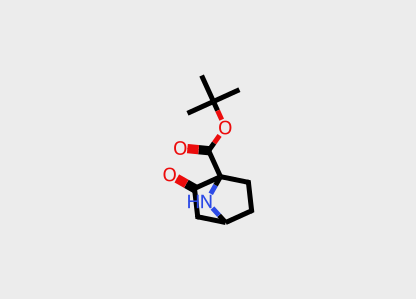 CC(C)(C)OC(=O)C12CCC(CC1=O)N2